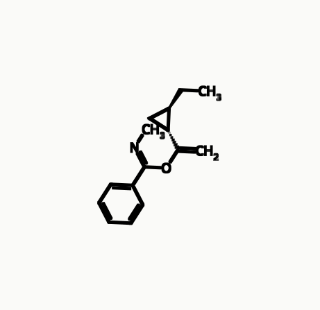 C=C(O/C(=N\C)c1ccccc1)[C@@H]1C[C@H]1CC